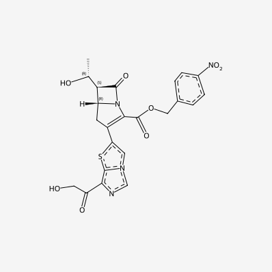 C[C@@H](O)[C@H]1C(=O)N2C(C(=O)OCc3ccc([N+](=O)[O-])cc3)=C(c3cn4cnc(C(=O)CO)c4s3)C[C@H]12